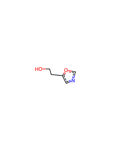 OCCc1cnco1